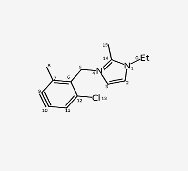 CCn1cc[n+](Cc2c(C)c#ccc2Cl)c1C